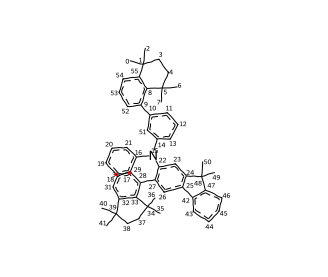 CC1(C)CCC(C)(C)c2c(-c3cccc(N(c4ccccc4)c4cc5c(cc4-c4cccc6c4C(C)(C)CCC6(C)C)-c4ccccc4C5(C)C)c3)cccc21